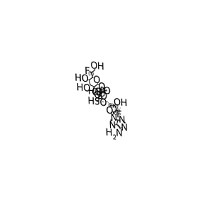 C[C@@]1(F)[C@H](O)[C@@H](COP(=O)(S)OP(=O)(O)OC2OC([C@@H](F)CO)C(O)C(O)C2O)O[C@H]1n1cnc2c(N)ncnc21